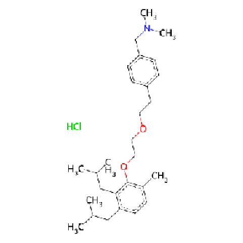 Cc1ccc(CC(C)C)c(CC(C)C)c1OCCOCCc1ccc(CN(C)C)cc1.Cl